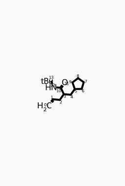 C=CCC(CC1CCCC1)C(=O)NC(C)(C)C